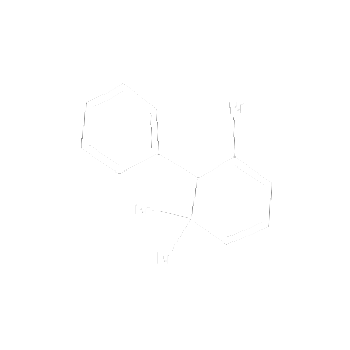 BrC1=CC=CC(Br)(Br)C1c1ccccc1